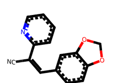 N#CC(=Cc1ccc2c(c1)OCO2)c1ccccn1